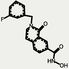 O=C(NO)c1ccc2ccn(Cc3cccc(F)c3)c(=O)c2c1